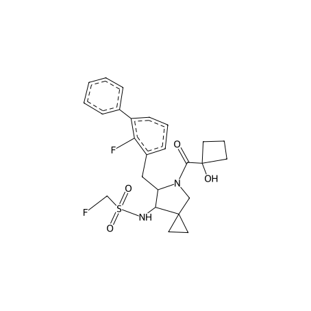 O=C(N1CC2(CC2)C(NS(=O)(=O)CF)C1Cc1cccc(-c2ccccc2)c1F)C1(O)CCC1